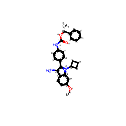 CCOc1ccc2c(N)c(-c3ccc(NC(=O)O[C@H](C)c4ccccc4)cc3)n(C3CCC3)c2c1